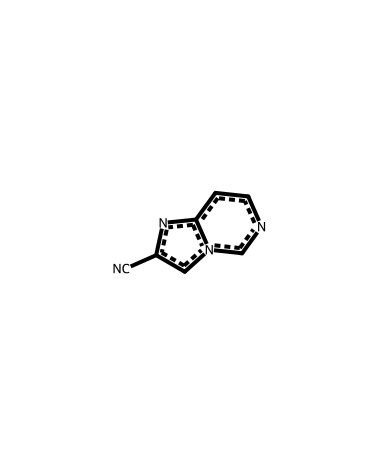 N#Cc1cn2cnccc2n1